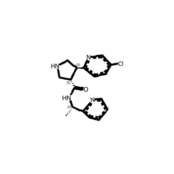 C[C@H](NC(=O)[C@@H]1CNC[C@H]1c1ccc(Cl)cn1)c1ccccn1